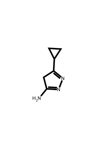 NC1=NN=C(C2CC2)C1